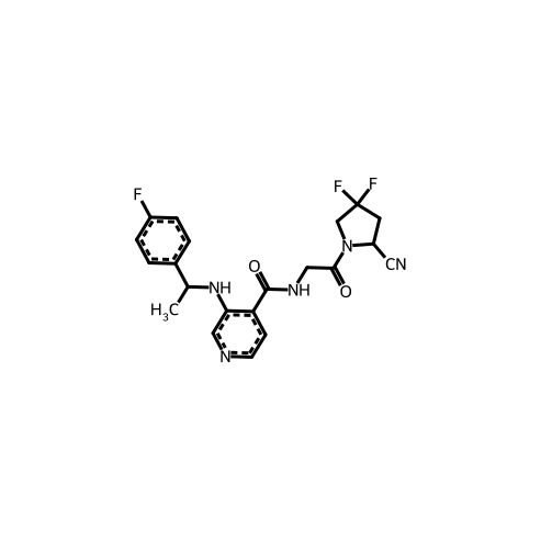 CC(Nc1cnccc1C(=O)NCC(=O)N1CC(F)(F)CC1C#N)c1ccc(F)cc1